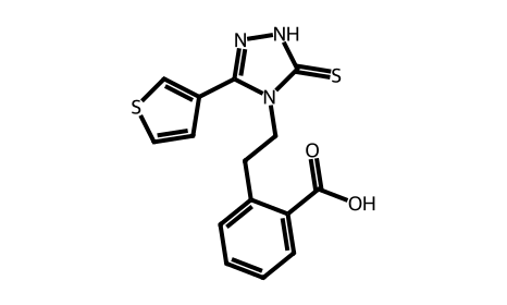 O=C(O)c1ccccc1CCn1c(-c2ccsc2)n[nH]c1=S